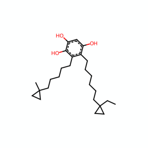 CCC1(CCCCCCc2c(O)cc(O)c(O)c2CCCCCC2(C)CC2)CC1